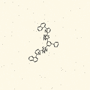 c1ccc(-c2cc(-c3nnc(-c4cccc(-c5cccc6ccccc56)n4)s3)cc(-c3nnc(-c4cccc(-c5cccc6ccccc56)n4)s3)c2)cc1